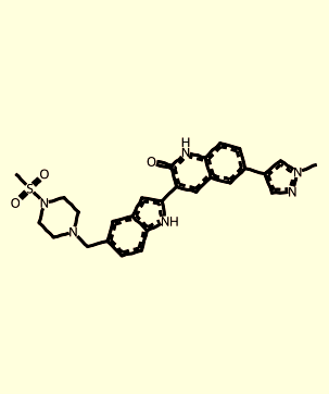 Cn1cc(-c2ccc3[nH]c(=O)c(-c4cc5cc(CN6CCN(S(C)(=O)=O)CC6)ccc5[nH]4)cc3c2)cn1